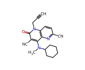 C#CCn1c(=O)c(C#N)c(N(C)C2CCCCC2)c2nc(C#N)ccc21